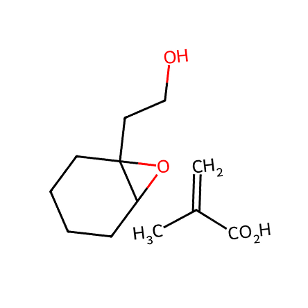 C=C(C)C(=O)O.OCCC12CCCCC1O2